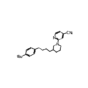 CC(C)(C)c1ccc(CC[CH]CC2CCCN(c3cc(C#N)ccn3)C2)cc1